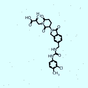 C=C(CN1C(=O)CCC(N2Cc3cc(CNC(=O)Nc4ccc(C)c(Cl)c4)ccc3C2=O)C1=O)C(=O)O